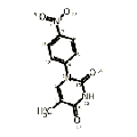 Cc1cn(-c2ccc([N+](=O)[O-])cc2)c(=O)[nH]c1=O